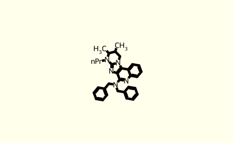 CCCN1c2nc3c(N(Cc4ccccc4)Cc4ccccc4)nc4ccccc4c3n2CC(C)C1C